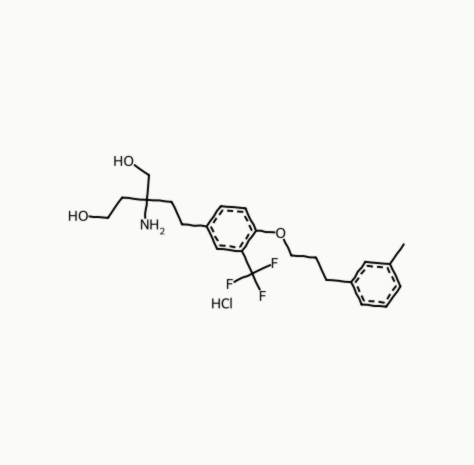 Cc1cccc(CCCOc2ccc(CCC(N)(CO)CCO)cc2C(F)(F)F)c1.Cl